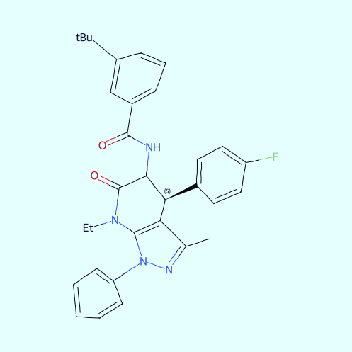 CCN1C(=O)C(NC(=O)c2cccc(C(C)(C)C)c2)[C@@H](c2ccc(F)cc2)c2c(C)nn(-c3ccccc3)c21